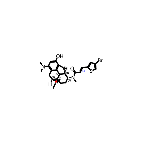 CN(C)c1cc(O)c2c3c1C[C@@H]1[C@@H]4CC[C@H](N(C)C(=O)/C=C/c5cc(Br)cs5)[C@H](O2)[C@]34CCN1C